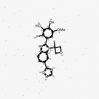 COc1cc(-c2nc3ccc(-c4ncno4)cc3n2C2(C)COC2)c(F)c(O)c1O